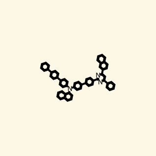 c1ccc(-c2ccc(-c3ccc(N(c4ccc(-c5ccc(-c6nc(-c7ccccc7)cc(-c7ccc8ccccc8c7)n6)cc5)cc4)c4cccc5ccccc45)cc3)cc2)cc1